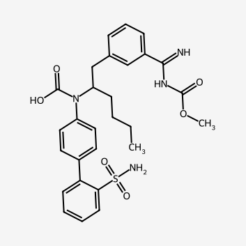 CCCCC(Cc1cccc(C(=N)NC(=O)OC)c1)N(C(=O)O)c1ccc(-c2ccccc2S(N)(=O)=O)cc1